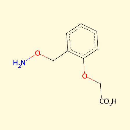 NOCc1ccccc1OCC(=O)O